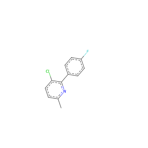 Cc1ccc(Cl)c(-c2ccc(F)cc2)n1